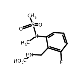 CN(c1cccc(F)c1CNC(=O)O)S(C)(=O)=O